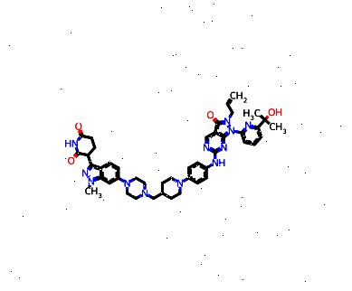 C=CCn1c(=O)c2cnc(Nc3ccc(N4CCC(CN5CCN(c6ccc7c(C8CCC(=O)NC8=O)nn(C)c7c6)CC5)CC4)cc3)nc2n1-c1cccc(C(C)(C)O)n1